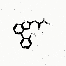 CNC(=O)OC1Cc2c(cccc2-c2ccccc2C)O1